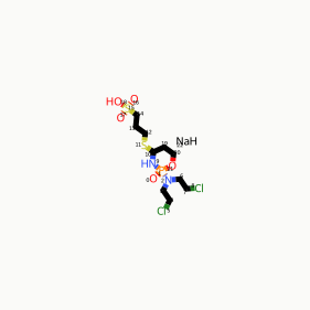 O=P1(N(CCCl)CCCl)NC(SCCCS(=O)(=O)O)CCO1.[NaH]